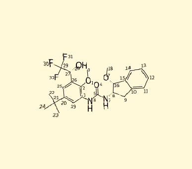 COc1c(NC(=O)N[C@H]2Cc3ccccc3[C@H]2OC)cc(C(C)(C)C)cc1[C@@H](O)C(F)(F)F